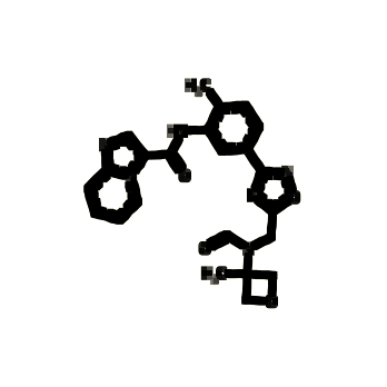 Cc1ccc(-c2noc(CN(C=O)C3(C)COC3)n2)cc1NC(=O)c1cnc2ccccn12